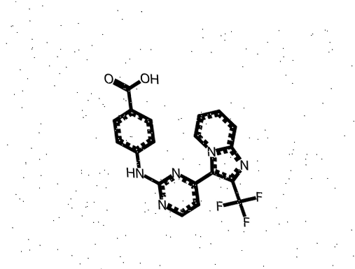 O=C(O)c1ccc(Nc2nccc(-c3c(C(F)(F)F)nc4ccccn34)n2)cc1